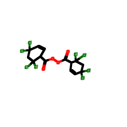 O=C(OOC(=O)C1C=CC(Cl)(Cl)CC1(Cl)Cl)C1C=CC(Cl)(Cl)CC1(Cl)Cl